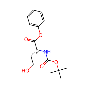 CC(C)(C)OC(=O)N[C@H](CCO)C(=O)Oc1ccccc1